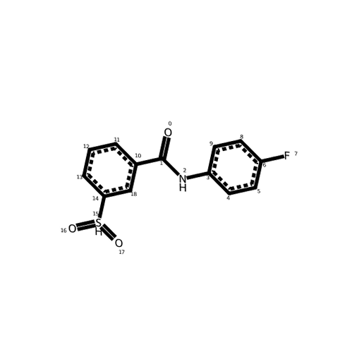 O=C(Nc1ccc(F)cc1)c1cccc([SH](=O)=O)c1